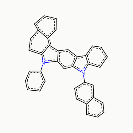 c1ccc(-n2c3cc4c(cc3c3c5ccccc5ccc32)c2ccccc2n4-c2ccc3ccccc3c2)cc1